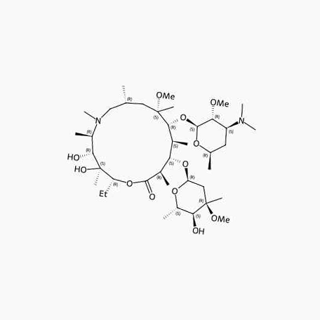 CC[C@H]1OC(=O)[C@H](C)[C@@H](O[C@H]2C[C@@](C)(OC)[C@@H](O)[C@H](C)O2)[C@H](C)[C@@H](O[C@@H]2O[C@H](C)C[C@H](N(C)C)[C@H]2OC)[C@@](C)(OC)C[C@@H](C)CN(C)[C@H](C)[C@@H](O)[C@]1(C)O